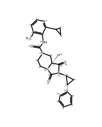 Cc1ccnc(C2CC2)c1NC(=O)N1CCN2C(=O)N([C@H]3C[C@@H]3c3ccccc3)C(=O)[C@@H]2C1